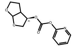 O=C(Oc1ccccn1)O[C@H]1COC2OCCC21